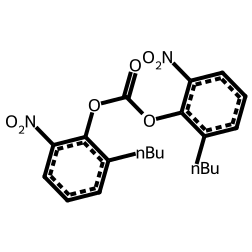 CCCCc1cccc([N+](=O)[O-])c1OC(=O)Oc1c(CCCC)cccc1[N+](=O)[O-]